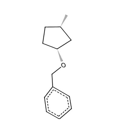 C[C@H]1CC[C@@H](OCc2ccccc2)C1